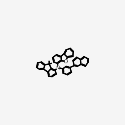 CC1(C)c2ccccc2-c2cccc(N(c3cccc(-c4ccc5ccccc5c4)c3)c3cccc4c3oc3ccccc34)c21